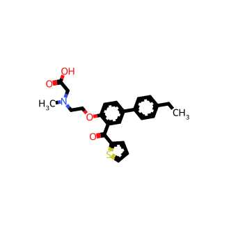 CCc1ccc(-c2ccc(OCCN(C)CC(=O)O)c(C(=O)c3cccs3)c2)cc1